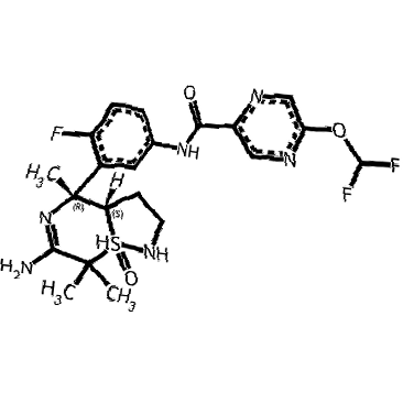 CC1(C)C(N)=N[C@](C)(c2cc(NC(=O)c3cnc(OC(F)F)cn3)ccc2F)[C@@H]2CCN[SH]21=O